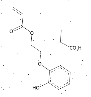 C=CC(=O)O.C=CC(=O)OCCOc1ccccc1O